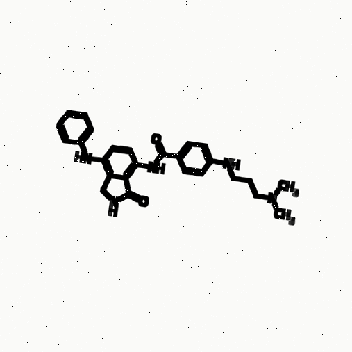 CN(C)CCCNc1ccc(C(=O)Nc2ccc(Nc3ccccc3)c3c2C(=O)NC3)cc1